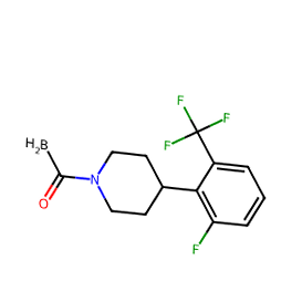 BC(=O)N1CCC(c2c(F)cccc2C(F)(F)F)CC1